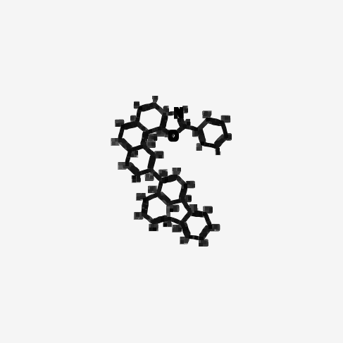 c1ccc(-c2nc3ccc4ccc5ccc(-c6ccc7c8c(cccc68)-c6ccccc6-7)cc5c4c3o2)cc1